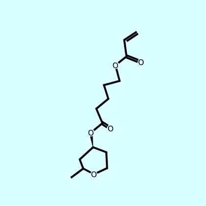 C=CC(=O)OCCCCC(=O)O[C@H]1CCOC(C)C1